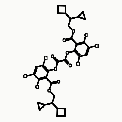 O=C(Oc1c(Cl)cc(Cl)c(Cl)c1C(=O)OCC(C1CCC1)C1CC1)C(=O)Oc1c(Cl)cc(Cl)c(Cl)c1C(=O)OCC(C1CCC1)C1CC1